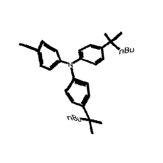 CCCCC(C)(C)c1ccc(N(c2ccc(C)cc2)c2ccc(C(C)(C)CCCC)cc2)cc1